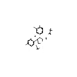 CC(C)(C)C[C@@H]1N[C@@H](C(=O)OC(=O)C(F)(F)F)[C@H](c2ccc(F)c(Cl)c2)[C@@]1(C#N)c1ccc(Cl)cc1F